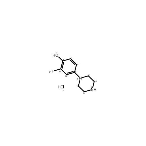 Cl.Oc1ccc(N2CCNCC2)cc1F